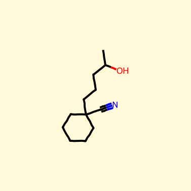 CC(O)CCCC1(C#N)CCCCC1